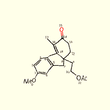 COc1ccc2c(c1)CC1(CCOC(C)=O)CCC(=O)C(C)=C21